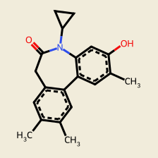 Cc1cc2c(cc1C)-c1cc(C)c(O)cc1N(C1CC1)C(=O)C2